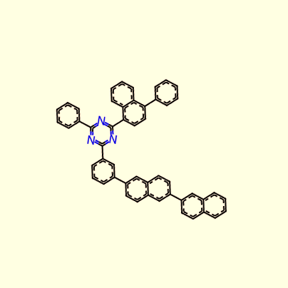 c1ccc(-c2nc(-c3cccc(-c4ccc5cc(-c6ccc7ccccc7c6)ccc5c4)c3)nc(-c3ccc(-c4ccccc4)c4ccccc34)n2)cc1